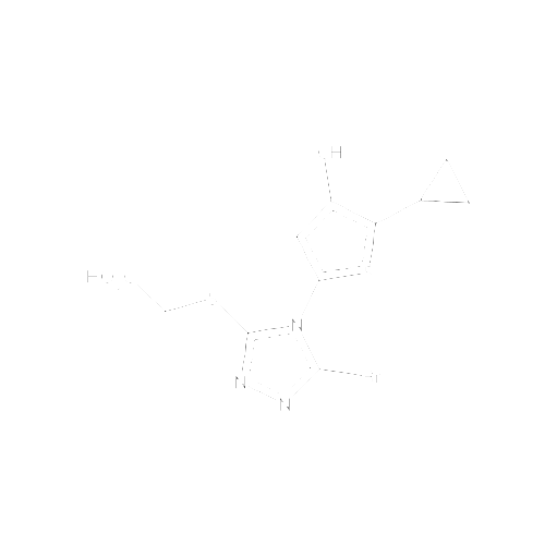 Cc1cc(-n2c(Br)nnc2SCC(=O)O)sc1C1CC1